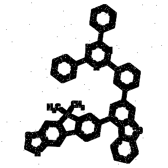 CC1(C)c2cc(-c3cc(-c4cccc(-c5nc(-c6ccccc6)nc(-c6ccccc6)n5)c4)cc4oc5ccccc5c34)ccc2-c2cc3ncoc3cc21